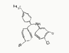 Cc1ccc(C(Nc2ccc(Cl)c(Cl)c2)c2ccc(Br)cn2)cc1